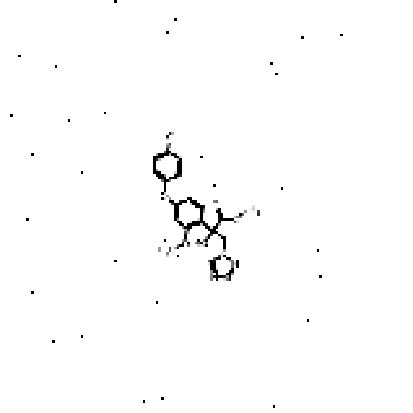 COC(=O)C(O)(Cn1cncn1)c1ccc(Oc2ccc(Cl)cc2)cc1OC